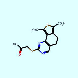 COc1sc(C(=O)O)c2c1-c1nc(SCC(=O)C(C)(C)C)ncc1CC2